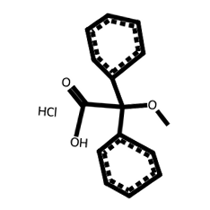 COC(C(=O)O)(c1ccccc1)c1ccccc1.Cl